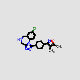 Cc1onc(C2CCC(c3nnc4n3-c3ccc(Cl)cc3CNC4)CC2)c1C